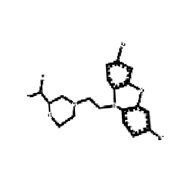 FC(F)C1CN(CCN2c3ccc(Br)cc3Oc3cc(Br)ccc32)CCO1